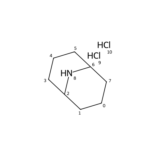 C1CC2CCCC(C1)N2.Cl.Cl